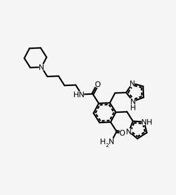 NC(=O)c1ccc(C(=O)NCCCCN2CCCCC2)c(Cc2ncc[nH]2)c1Cc1ncc[nH]1